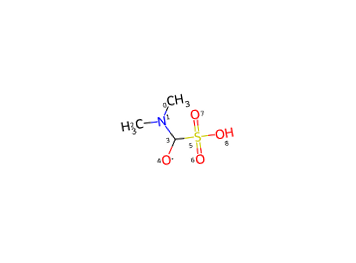 CN(C)C([O])S(=O)(=O)O